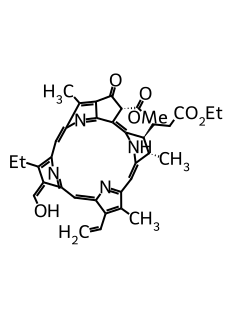 C=CC1=C(C)C2=NC1=CC1=NC(=C(CC)C1=CO)C=C1N=C3C(=C1C)C(=O)[C@H](C(=O)OC)C3=C1NC(=C2)[C@@H](C)[C@@H]1CCC(=O)OCC